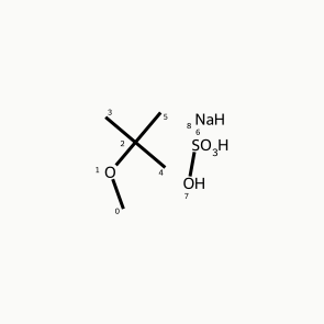 COC(C)(C)C.O=S(=O)(O)O.[NaH]